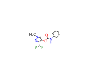 Cn1cc(OC(=O)Nc2ccccc2)c(C(F)F)n1